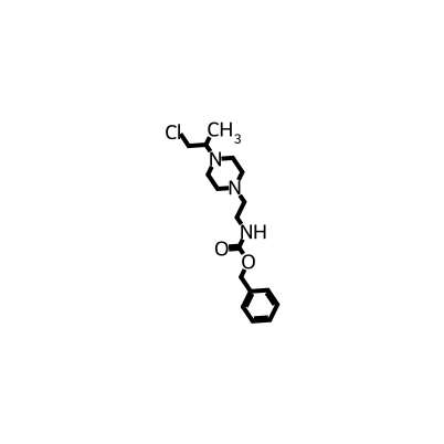 CC(CCl)N1CCN(CCNC(=O)OCc2ccccc2)CC1